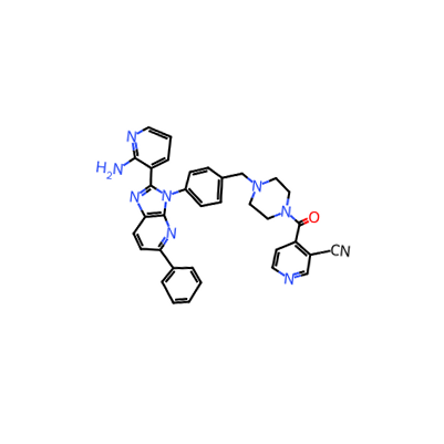 N#Cc1cnccc1C(=O)N1CCN(Cc2ccc(-n3c(-c4cccnc4N)nc4ccc(-c5ccccc5)nc43)cc2)CC1